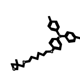 Cc1ccc(N(c2ccc(C)cc2)c2ccc(OCCCCCCOCC3(C)COC3)cc2)cc1